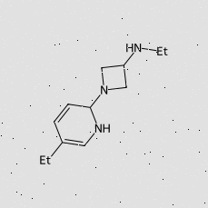 CCNC1CN(C2C=CC(CC)=CN2)C1